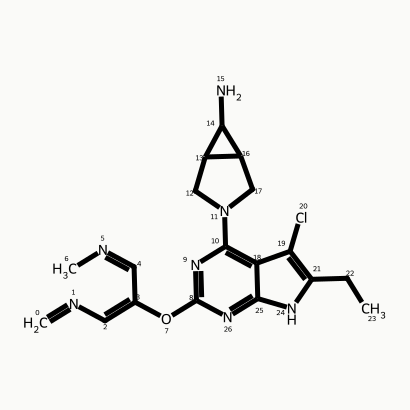 C=N/C=C(\C=N/C)Oc1nc(N2CC3C(N)C3C2)c2c(Cl)c(CC)[nH]c2n1